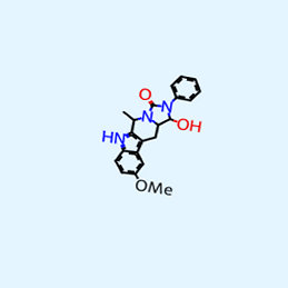 COc1ccc2[nH]c3c(c2c1)CC1C(O)N(c2ccccc2)C(=O)N1C3C